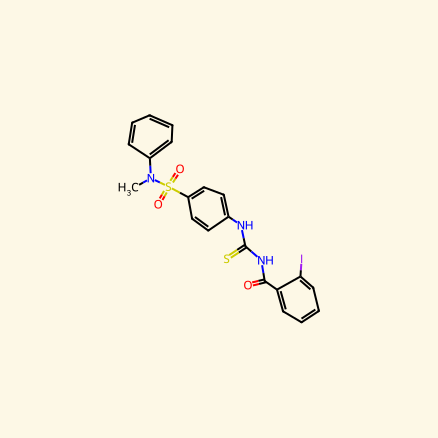 CN(c1ccccc1)S(=O)(=O)c1ccc(NC(=S)NC(=O)c2ccccc2I)cc1